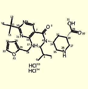 CC(C)CN(C(=O)c1cnc(C(C)(C)C)nc1NCc1ccco1)[C@H]1CNC[C@@H](C(=O)O)C1.Cl.Cl